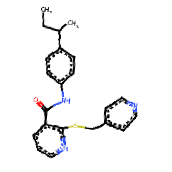 CCC(C)c1ccc(NC(=O)c2cccnc2SCc2ccncc2)cc1